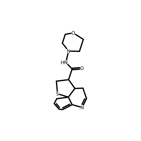 O=C(NN1CCOCC1)C1CSC23CC=CC=C2N=CCC13